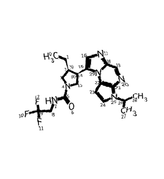 CC[C@@H]1CN(C(=O)NCC(F)(F)F)C[C@@H]1c1cnc2cnc3c(ccn3C(C)C)n12